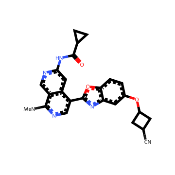 CNc1ncc(-c2nc3cc(OC4CC(C#N)C4)ccc3o2)c2cc(NC(=O)C3CC3)ncc12